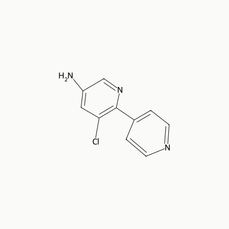 Nc1cnc(-c2ccncc2)c(Cl)c1